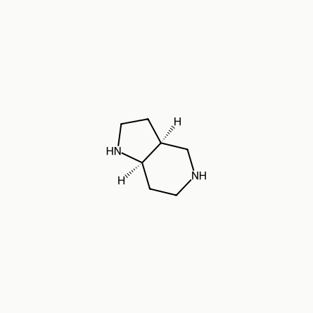 C1C[C@H]2NCC[C@H]2CN1